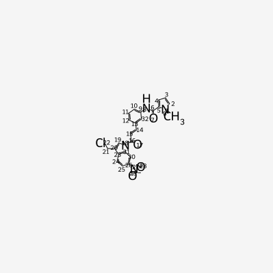 Cn1cccc1C(=O)Nc1cccc(C=CC(=O)n2cc(CCl)c3ccc([N+](=O)[O-])cc32)c1